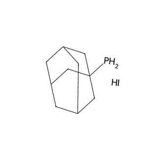 I.PC12CC3CC(CC(C3)C1)C2